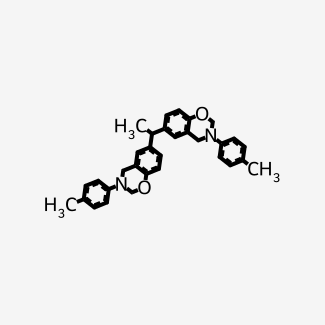 Cc1ccc(N2COc3ccc(C(C)c4ccc5c(c4)CN(c4ccc(C)cc4)CO5)cc3C2)cc1